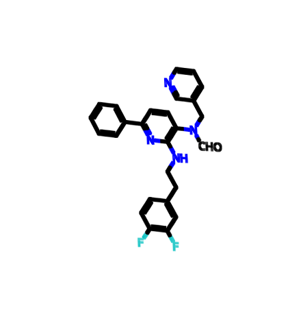 O=CN(Cc1cccnc1)c1ccc(-c2ccccc2)nc1NCCc1ccc(F)c(F)c1